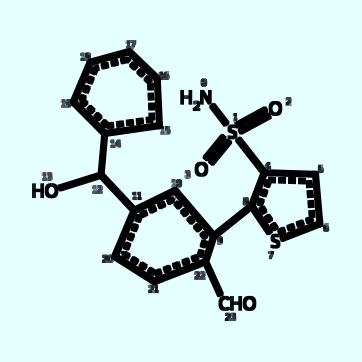 NS(=O)(=O)c1ccsc1-c1cc(C(O)c2ccccc2)ccc1C=O